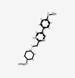 CCCCCCC[C@H]1CC[C@H](CCc2ncc(-c3ccc(OCCC)cc3)cn2)CC1